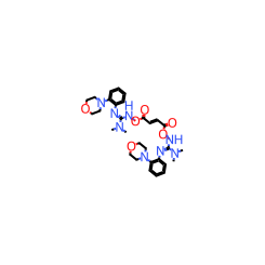 CN(C)C(=Nc1ccccc1N1CCOCC1)NOC(=O)/C=C/C(=O)ONC(=Nc1ccccc1N1CCOCC1)N(C)C